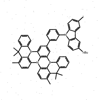 CCCCc1ccc2c(c1)c1cc(I)ccc1n2-c1cccc(-c2cc3c4c(c2)B2c5ccccc5C(C)(C)c5c(C)ccc(c52)N4c2ccc(C)c4c2B3c2ccccc2C4(C)C)c1